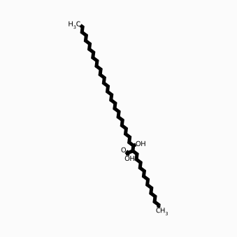 CCCCCCCCCCCCCCCCCCCCCCCCCCCCCC(O)C(CCCCCCCCCCCCCC)C(=O)O